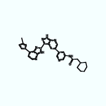 Cc1ccc(-c2ccnc3[nH]c(-c4n[nH]c5ncc(-c6cncc(NC(=O)CC7CCCCC7)c6)cc45)nc23)s1